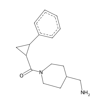 NCC1CCN(C(=O)C2CC2c2ccccc2)CC1